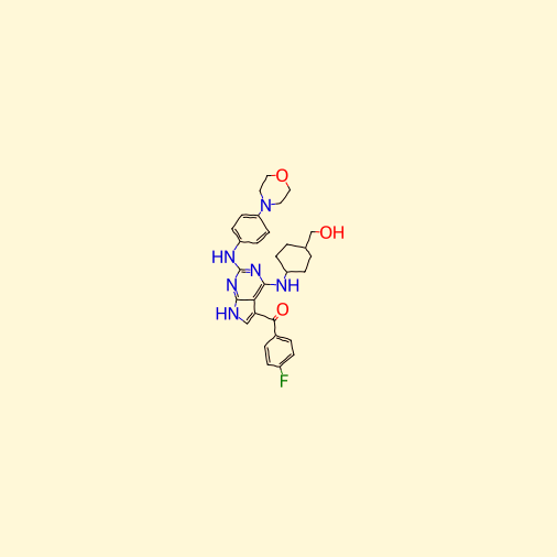 O=C(c1ccc(F)cc1)c1c[nH]c2nc(Nc3ccc(N4CCOCC4)cc3)nc(NC3CCC(CO)CC3)c12